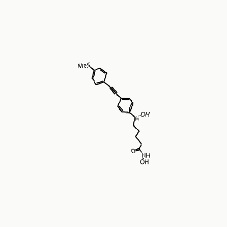 CSc1ccc(C#Cc2ccc([C@H](O)CCCCC(=O)NO)cc2)cc1